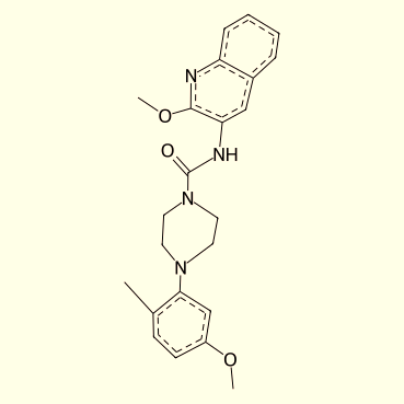 COc1ccc(C)c(N2CCN(C(=O)Nc3cc4ccccc4nc3OC)CC2)c1